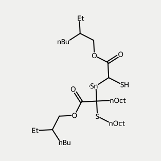 CCCCCCCCS[C](CCCCCCCC)([Sn][CH](S)C(=O)OCC(CC)CCCC)C(=O)OCC(CC)CCCC